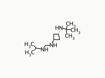 CC(C)NCN[C@H]1C[C@H](NC(C)(C)C)C1